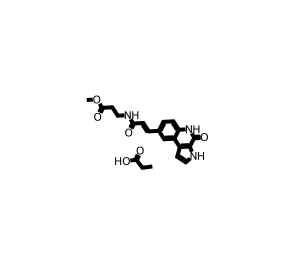 CCC(=O)O.COC(=O)CCNC(=O)C=Cc1ccc2[nH]c(=O)c3[nH]ccc3c2c1